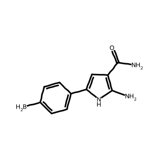 Bc1ccc(-c2cc(C(N)=O)c(N)[nH]2)cc1